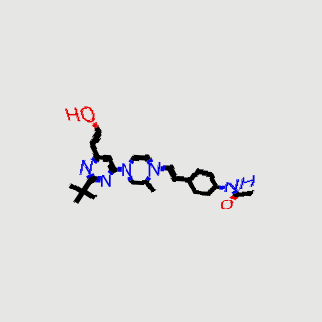 CC(=O)NC1CCC(CCN2CCN(c3cc(CCO)nc(C(C)(C)C)n3)CC2C)CC1